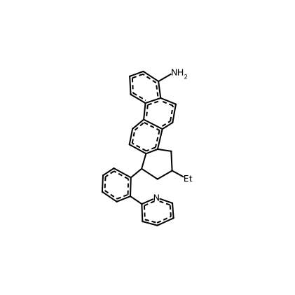 CCC1Cc2c(ccc3c2ccc2c(N)cccc23)C(c2ccccc2-c2ccccn2)C1